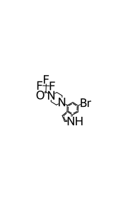 O=C(N1CCN(c2cc(Br)cc3[nH]ccc23)CC1)C(F)(F)F